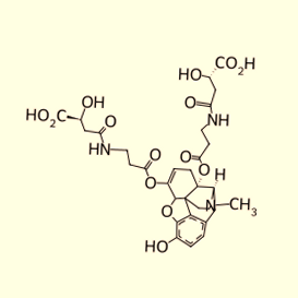 CN1CCC23c4c5ccc(O)c4OC2C(OC(=O)CCNC(=O)C[C@H](O)C(=O)O)=CC[C@@]3(OC(=O)CCNC(=O)C[C@H](O)C(=O)O)[C@H]1C5